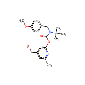 COc1ccc(CN(C(=O)Oc2cc(CBr)cc(C)n2)C(C)(C)C)cc1